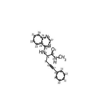 CNC(=O)C(CC#Cc1ccccc1)Nc1ncnc2ccccc12